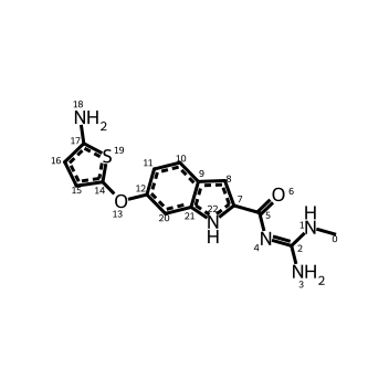 CNC(N)=NC(=O)c1cc2ccc(Oc3ccc(N)s3)cc2[nH]1